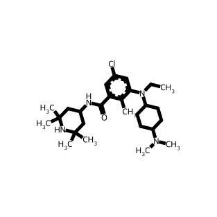 CCN(c1cc(Cl)cc(C(=O)NC2CC(C)(C)NC(C)(C)C2)c1C)C1CCC(N(C)C)CC1